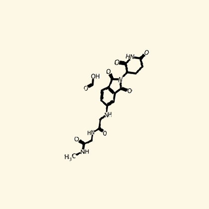 CNC(=O)CNC(=O)CNc1ccc2c(c1)C(=O)N(C1CCC(=O)NC1=O)C2=O.O=CO